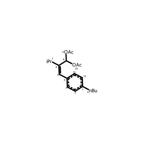 CCCCc1ccc(C=C(C(C)C)C(OC(C)=O)OC(C)=O)cc1